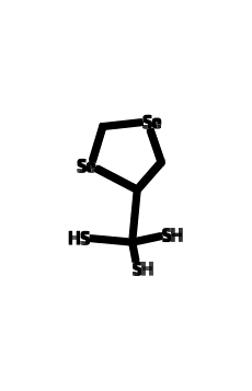 SC(S)(S)C1C[Se]C[Se]1